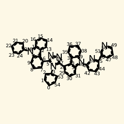 c1ccc(-n2c(-c3cccc4c3c3ccccc3n4-c3ccccc3)nnc2-c2cccc3c2c2ccccc2n3-c2cccc(-c3cccnc3)n2)cc1